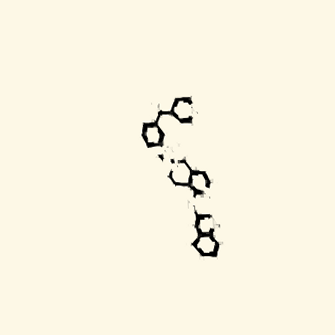 O=C(c1ccncc1)c1cccc(S(=O)(=O)N2CCc3c(ccnc3Nc3cnc4ccccc4c3)C2)c1